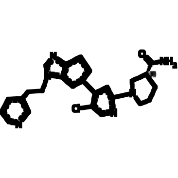 NC(=O)[C@@H]1CCCN(c2cc(-c3ccc4ncn(CCc5cccnc5)c4c3)c(Cl)cn2)C1